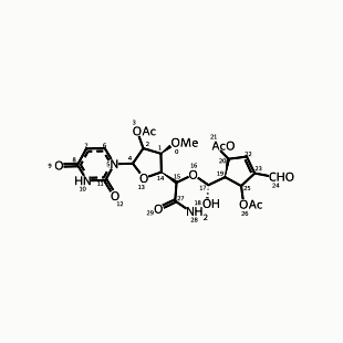 CO[C@@H]1C(OC(C)=O)C(n2ccc(=O)[nH]c2=O)O[C@@H]1C(O[C@@H](O)[C@H]1C(OC(C)=O)C=C(C=O)C1OC(C)=O)C(N)=O